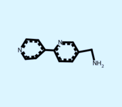 NCc1ccc(-c2ccncc2)nc1